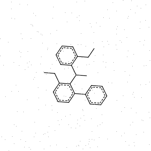 CCc1ccccc1C(C)c1c(CC)cccc1-c1ccccc1